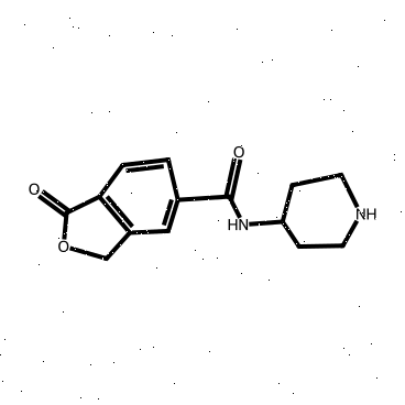 O=C(NC1CCNCC1)c1ccc2c(c1)COC2=O